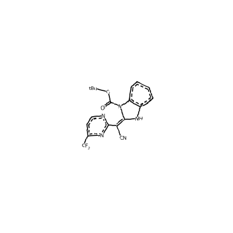 CC(C)(C)OC(=O)N1/C(=C(/C#N)c2nccc(C(F)(F)F)n2)Nc2ccccc21